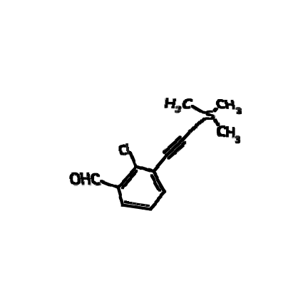 CS(C)(C)C#Cc1cccc(C=O)c1Cl